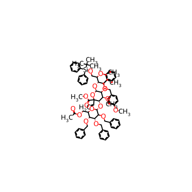 C=CC1(C(=O)OC)O[C@@H](O[C@@H]2C(CO[Si](c3ccccc3)(c3ccccc3)C(C)(C)C)O[C@H](C)C(C)[C@@H]2OCc2ccc(OC)cc2)C(OCc2ccccc2)[C@@H](OC)[C@@H]1O[C@@H]1OC(COC(C)=O)[C@@H](OCc2ccccc2)[C@@H](OCc2ccccc2)C1OCc1ccccc1